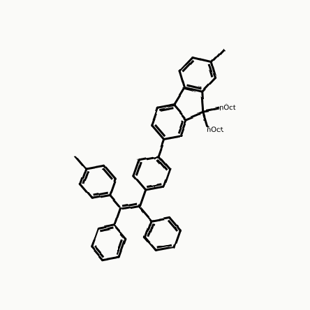 CCCCCCCCC1(CCCCCCCC)c2cc(C)ccc2-c2ccc(-c3ccc(C(=C(c4ccccc4)c4ccc(C)cc4)c4ccccc4)cc3)cc21